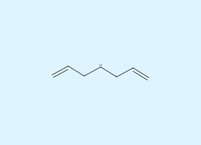 C=CC[C]CC=C